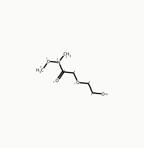 CON(C)C(=O)COCC[O]